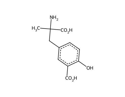 CC(N)(Cc1ccc(O)c(C(=O)O)c1)C(=O)O